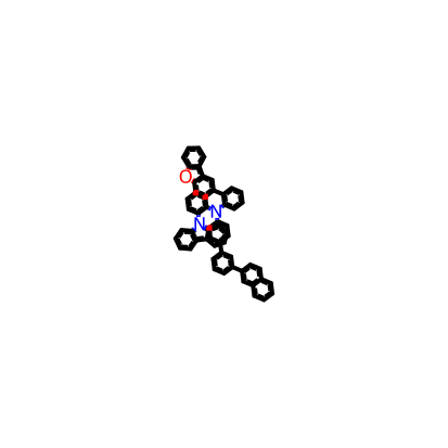 C1=C(c2cccc(-c3ccc4ccccc4c3)c2)CCC(N(c2ccccc2-c2ccc3oc4ccccc4c3c2)c2ccccc2-n2c3ccccc3c3ccccc32)=C1